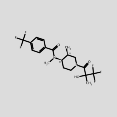 C[C@H]1CN(C(=O)C(C)(O)C(F)(F)F)CC[C@H]1N(C)C(=O)c1ccc(C(F)(F)F)cc1